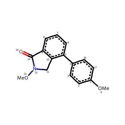 COc1ccc(-c2cccc3c2CN(OC)C3=O)cc1